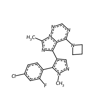 Cc1nc(-c2cnn(C)c2-c2ccc(Cl)cc2F)c2c(N3CCC3)ncnn12